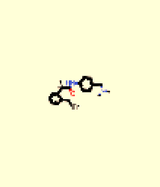 CC(C)Cc1ccccc1[C@@H](C)C(=O)Nc1ccc(CN(C)C)cc1